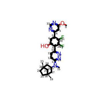 COc1cc(-c2cc(O)c(-c3ccc(N(C)[C@H]4C[C@]5(C)CC[C@](C)(C4)C5)nn3)c(F)c2F)ncn1